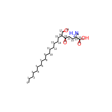 CCCCCCCCCCCCCCCCC([C]=O)C(=O)CC[C@H](N)C(=O)O